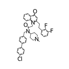 CN1CCC(N(Cc2ccc(-c3ccc(Cl)cc3)cc2)C(=O)Cn2c(CCc3cccc(F)c3F)cc(=O)c3ccccc32)CC1